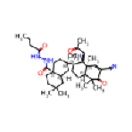 CCCC(=O)NNC(=O)[C@]12CCC(C)(C)C[C@@H]1C[C@](C)([C@]1(C)CC[C@H]3C(C)(C)C(=O)C(C#N)=C[C@]3(C)/C1=C/C(C)=O)CC2